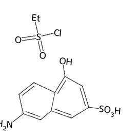 CCS(=O)(=O)Cl.Nc1ccc2c(O)cc(S(=O)(=O)O)cc2c1